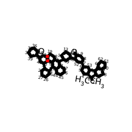 CC1(C)c2ccc(-c3ccc4oc5ccc(-c6c7ccccc7c(-c7ccccc7-c7ccc8oc9ccccc9c8c7)c7ccccc67)cc5c4c3)cc2-c2c1ccc1ccccc21